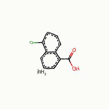 O=C(O)c1cccc2c(Cl)cccc12.[InH3]